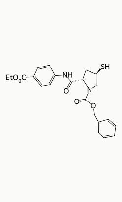 CCOC(=O)c1ccc(NC(=O)[C@@H]2C[C@@H](S)CN2C(=O)OCc2ccccc2)cc1